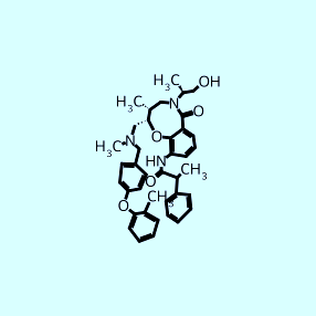 Cc1ccccc1Oc1ccc(CN(C)C[C@H]2Oc3c(NC(=O)C(C)c4ccccc4)cccc3C(=O)N([C@@H](C)CO)C[C@H]2C)cc1